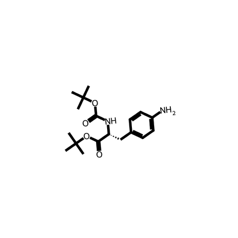 CC(C)(C)OC(=O)N[C@H](Cc1ccc(N)cc1)C(=O)OC(C)(C)C